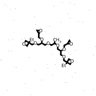 CCC1(COCC(COCC(C)OCC(COCC2(CC)COC2)OCC2CO2)OCC2CO2)COC1